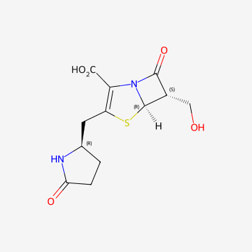 O=C1CC[C@H](CC2=C(C(=O)O)N3C(=O)[C@H](CO)[C@H]3S2)N1